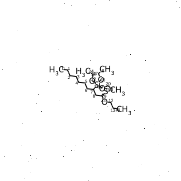 CCCCCCCC(CC(=S)OCCC)[Si](OCC)(OCC)OCC